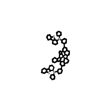 C1=Cc2c(sc3ccccc23)C(N(c2ccccc2)c2cccc(-c3ccc4c5c(ccc4c3)-c3ccc4cc(-c6cccc(N(c7ccccc7)c7cccc8c7sc7ccccc78)c6)ccc4c3C53c4ccccc4-c4c3ccc3ccccc43)c2)C1